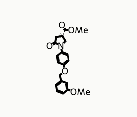 COC(=O)[C@H]1CC(=O)N(c2ccc(OCc3cccc(OC)c3)cc2)C1